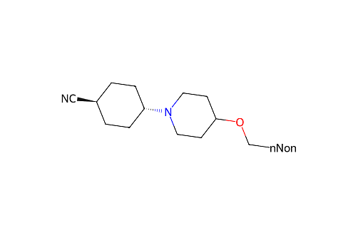 CCCCCCCCCCOC1CCN([C@H]2CC[C@H](C#N)CC2)CC1